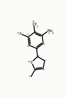 CC1=CCC(c2cc(N)c(C(F)(F)F)c(F)c2)S1